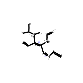 C=C/N=C\C(NC=O)=C(/C=C)N(C)C(C)C